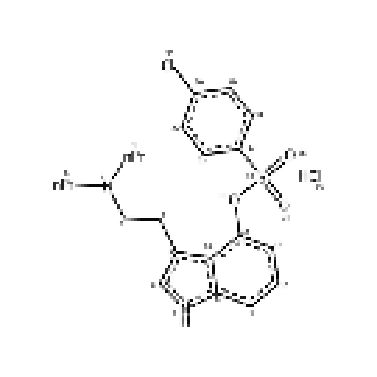 CCCN(CCC)CCc1c[nH]c2cccc(OS(=O)(=O)c3ccc(Cl)cc3)c12.Cl